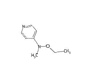 CCON(C)c1ccncc1